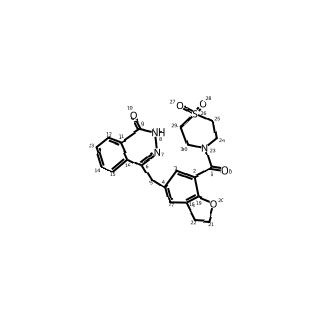 O=C(c1cc(Cc2n[nH]c(=O)c3ccccc23)cc2c1OCC2)N1CCS(=O)(=O)CC1